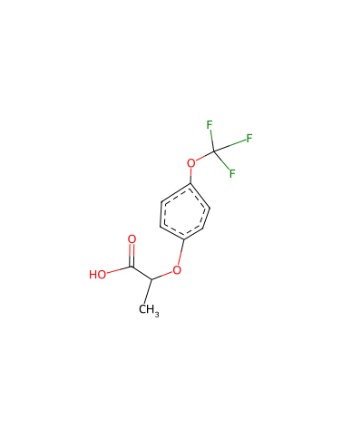 CC(Oc1ccc(OC(F)(F)F)cc1)C(=O)O